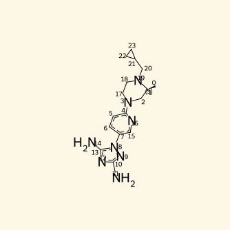 C[C@H]1CN(c2ccc(-n3nc(N)nc3N)cn2)CCN1CC1CC1